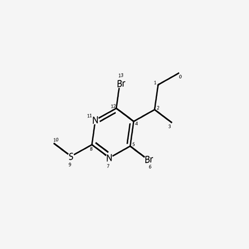 CCC(C)c1c(Br)nc(SC)nc1Br